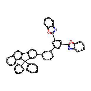 c1ccc(C2(c3ccccc3)c3cc(-c4cccc(-c5cc(-c6nc7ccccc7o6)cc(-c6nc7ccccc7o6)c5)c4)ccc3-c3ccc4ccccc4c32)cc1